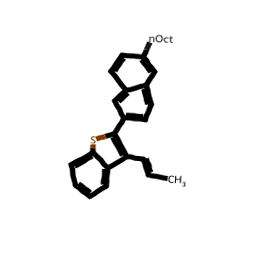 CC=Cc1c(-c2ccc3cc(CCCCCCCC)ccc3c2)sc2ccccc12